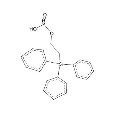 O=[PH](O)OCC[Si](c1ccccc1)(c1ccccc1)c1ccccc1